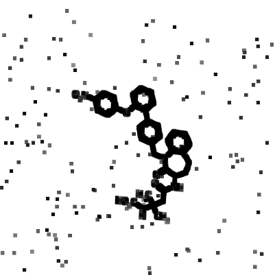 CC(C)(CC(=O)N[C@@H]1CCc2ccccc2N(Cc2ccc(-c3ccccc3Oc3ccc([N+](=O)[O-])cc3)cc2)C1=O)NC(=O)O